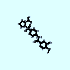 COc1ccc(C(=O)Nc2ccc(S(=O)(=O)N3CCC[C@H]3C(C)C)cc2)cc1I